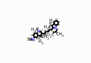 CC(CC(=O)O)CN1/C(=C/C=C/C=C/C2=CN(C)c3ccc(N=C=S)cc3C2(C)C)C(C)(C)c2ccccc21